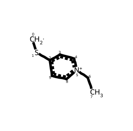 [CH2]Sc1cc[n+](CC)cc1